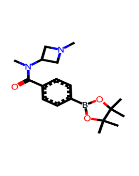 CN1CC(N(C)C(=O)c2ccc(B3OC(C)(C)C(C)(C)O3)cc2)C1